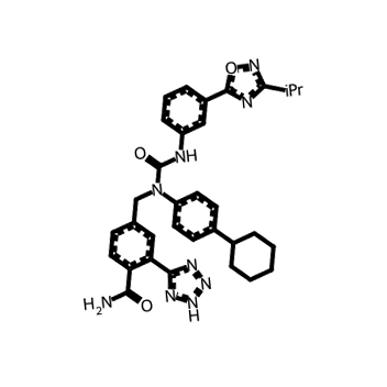 CC(C)c1noc(-c2cccc(NC(=O)N(Cc3ccc(C(N)=O)c(-c4nn[nH]n4)c3)c3ccc(C4CCCCC4)cc3)c2)n1